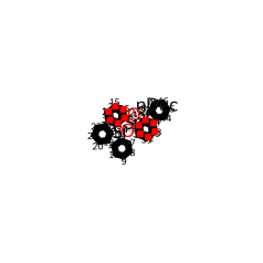 [CH2]CCCCCCCCC[Si](O[Si](O[Si](c1ccccc1)(c1ccccc1)c1ccccc1)(c1ccccc1)c1ccccc1)(c1ccccc1)c1ccccc1